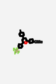 COc1ccc(-c2cc(-c3ccc(C)cc3)cc(-c3ccccc3)[o+]2)cc1.F[B-](F)(F)F